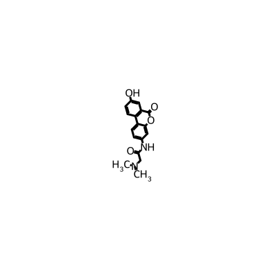 CN(C)CC(=O)Nc1ccc2c(c1)oc(=O)c1cc(O)ccc12